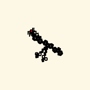 C=CC(=O)OCCCCCC1(CCCCCOC(=O)C=C)c2cc(-c3ccc4c(c3)C(C)(C)c3ccccc3-4)ccc2-c2ccc(-c3ccc4c(c3)C(C)(C)c3cc(CC(C(F)(F)F)(C(F)(F)F)C(Cl)(Cl)Cl)ccc3-4)cc21